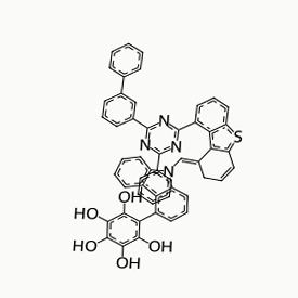 Oc1c(O)c(O)c(-c2cccc3c2c2ccccc2n3C=C2CC=Cc3sc4cccc(-c5nc(-c6ccccc6)nc(-c6cccc(-c7ccccc7)c6)n5)c4c32)c(O)c1O